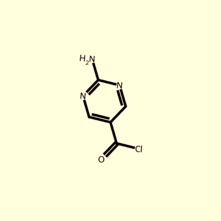 Nc1ncc(C(=O)Cl)cn1